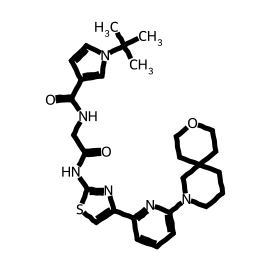 CC(C)(C)n1ccc(C(=O)NCC(=O)Nc2nc(-c3cccc(N4CCCC5(CCOCC5)C4)n3)cs2)c1